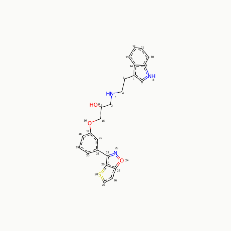 OC(CNCCc1c[nH]c2ccccc12)COc1cccc(-c2noc3ccsc23)c1